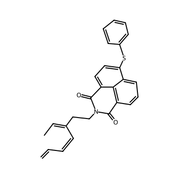 C=C/C=C\C(=C/C)CCN1C(=O)c2cccc3c(Sc4ccccc4)ccc(c23)C1=O